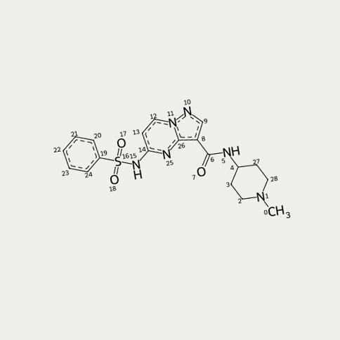 CN1CCC(NC(=O)c2cnn3ccc(NS(=O)(=O)c4ccccc4)nc23)CC1